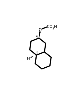 O=C(O)O[C@@H]1CC[C@@H]2CCCCC2C1